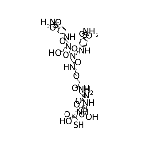 N[C@H](CNC(=O)CCOCCNC(=O)CN(CCN(CC(=O)O)CC(=O)Nc1ccc(S(N)(=O)=O)cc1)CC(=O)Nc1ccc(S(N)(=O)=O)cc1)C(=O)N[C@@H](CC(=O)O)C(=O)NC[C@H](CS)C(=O)O